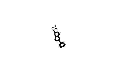 [CH3][Sn]([CH3])([CH3])[CH2]c1ccc2cc(-c3ccccc3)ccc2c1